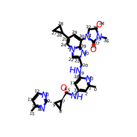 Cc1cc(NC(=O)[C@H]2C[C@@H]2c2nccc(C)n2)cc(NCc2cn3cc(C4CC4)cc(N4CC(=O)N(C)C4=O)c3n2)n1